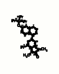 CC(C)c1cc(-c2cccc3cc(O[Si](C(C)C)(C(C)C)C(C)C)ncc23)cc2c1n(C)c(=O)n2C